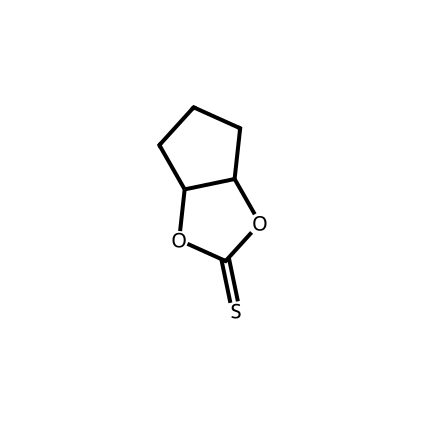 S=C1OC2CCCC2O1